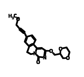 COCC#Cc1ccc2c(c1)CCn1c-2cc(OCC2COCCO2)nc1=O